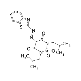 CC(C)CN1C(=O)C(N=Nc2nc3ccccc3s2)C(=O)N(CC(C)C)S1(=O)=O